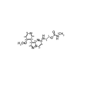 CNC(=O)OCCNc1ccn2ncc(-c3cnccc3OC)c2n1